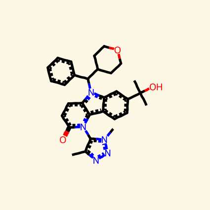 Cc1nnn(C)c1-n1c(=O)ccc2c1c1ccc(C(C)(C)O)cc1n2C(c1ccccc1)C1CCOCC1